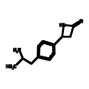 NC(Cc1ccc(C2CC(=O)N2)cc1)C(=O)O